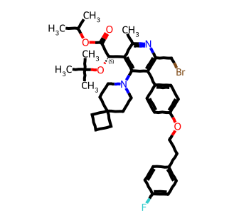 Cc1nc(CBr)c(-c2ccc(OCCc3ccc(F)cc3)cc2)c(N2CCC3(CCC3)CC2)c1[C@H](OC(C)(C)C)C(=O)OC(C)C